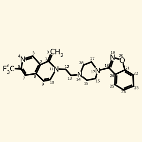 C=C1c2cnc(C(F)(F)F)cc2C=CN1CCN1CCN(c2noc3ccccc23)CC1